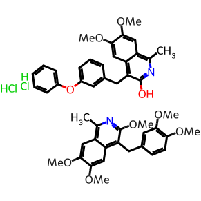 COc1cc2c(C)nc(O)c(Cc3cccc(Oc4ccccc4)c3)c2cc1OC.COc1ccc(Cc2c(OC)nc(C)c3cc(OC)c(OC)cc23)cc1OC.Cl.Cl